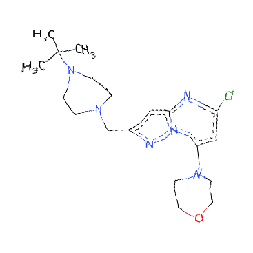 CC(C)(C)N1CCN(Cc2cc3nc(Cl)cc(N4CCOCC4)n3n2)CC1